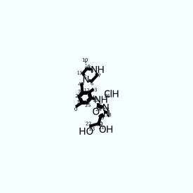 Cc1cc(CN2CCN[C@@H](C)C2)c(C)c(Nc2nnc([C@@H](O)CO)o2)c1.Cl